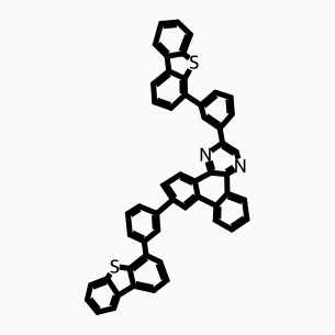 c1cc(-c2ccc3c(c2)c2ccccc2c2ncc(-c4cccc(-c5cccc6c5sc5ccccc56)c4)nc32)cc(-c2cccc3c2sc2ccccc23)c1